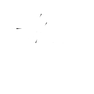 Cc1ccc(CB2O[C@@H]3C[C@@H]4C[C@@H](C4(C)C)[C@]3(C)O2)c(C)c1